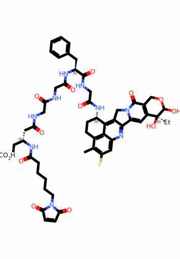 CC[C@]1(O)c2cc3n(c(=O)c2COC1O)Cc1c-3nc2cc(F)c(C)c3c2c1[C@@H](NC(=O)CNC(=O)[C@H](Cc1ccccc1)NC(=O)CNC(=O)CNC(=O)C[C@@H](CC(=O)O)NC(=O)CCCCCN1C(=O)C=CC1=O)CC3